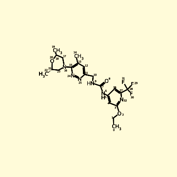 CCOc1cc(NC(=O)NCc2cc(C)c(N3C[C@H](C)O[C@@H](C)C3)nn2)cc(C(F)(F)F)n1